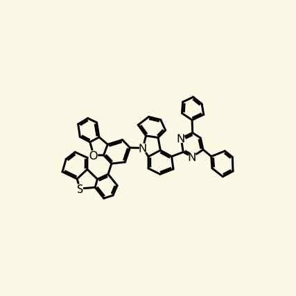 c1ccc(-c2cc(-c3ccccc3)nc(-c3cccc4c3c3ccccc3n4-c3cc(-c4cccc5sc6ccccc6c45)c4oc5ccccc5c4c3)n2)cc1